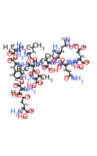 CC(C)C[C@H](N)C(=O)O[C@H](C)[C@H](N)C(=O)O[C@H](C)[C@H](N)C(=O)O.CC(C)[C@H](N)C(=O)O.C[C@H](N)C(=O)OC(=O)[C@@H](N)Cc1ccc(OC(=O)[C@H](C)N)cc1.NCCCC[C@H](N)C(=O)OC(=O)[C@@H](N)CCC(N)=O.N[C@@H](CCC(=O)O)C(=O)O.N[C@@H](CCC(=O)O)C(=O)O